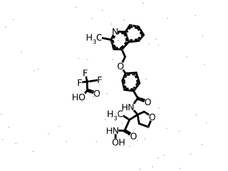 Cc1cc(COc2ccc(C(=O)NC3(C(C)C(=O)NO)CCOC3)cc2)c2ccccc2n1.O=C(O)C(F)(F)F